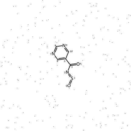 O=S=NC(=O)c1cncnc1